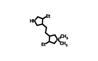 CCC1CNCC1CCC1C[N+](C)(C)CC1CC